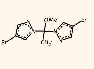 [CH2]C(OC)(n1cc(Br)cn1)n1cc(Br)cn1